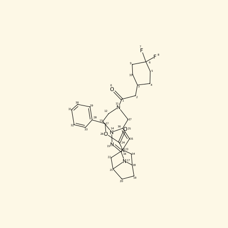 O=C(CC1CCC(F)(F)CC1)N1CCn2nc(N3C4CCC3CN(C(=O)OCc3ccccc3)C4)cc2C1